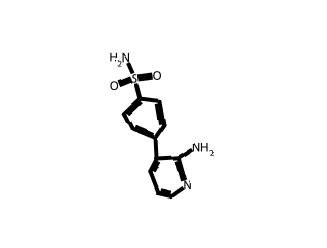 Nc1ncccc1-c1ccc(S(N)(=O)=O)cc1